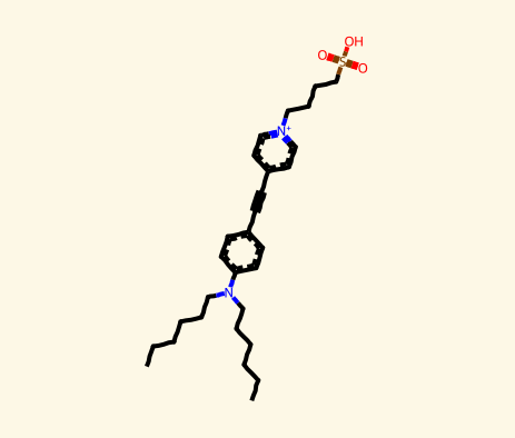 CCCCCCN(CCCCCC)c1ccc(C#Cc2cc[n+](CCCCS(=O)(=O)O)cc2)cc1